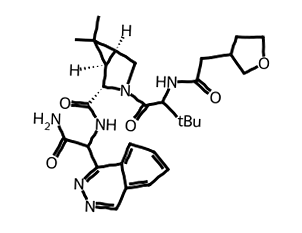 CC(C)(C)C(NC(=O)CC1CCOC1)C(=O)N1C[C@H]2[C@@H]([C@H]1C(=O)NC(C(N)=O)c1nncc3ccccc13)C2(C)C